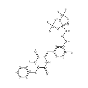 COC(=O)C(=Cc1ccc(C)c(OCOP(=O)(OC(C)(C)C)OC(C)(C)C)c1)NC(=O)OCc1ccccc1